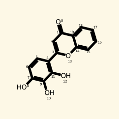 O=c1cc(-c2ccc(O)c(O)c2O)oc2ccccc12